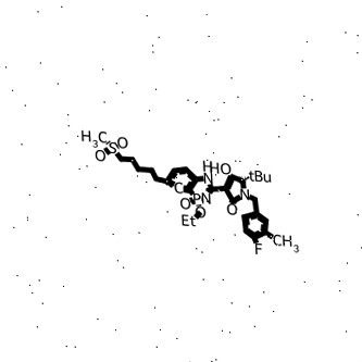 CCOP1(=O)N=C(C2=C(O)[C@H](C(C)(C)C)N(Cc3ccc(F)c(C)c3)C2=O)Nc2ccc(CCCCCS(C)(=O)=O)cc21